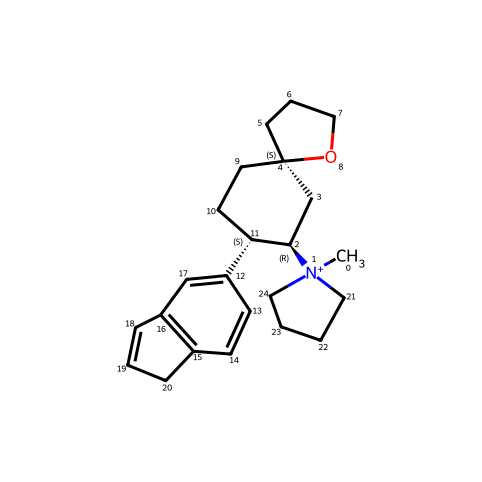 C[N+]1([C@@H]2C[C@@]3(CCCO3)CC[C@H]2c2ccc3c(c2)C=CC3)CCCC1